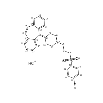 Cl.O=S(=O)(CCCN1CCC(=C2c3ccccc3C=Cc3ccccc32)CC1)c1ccc(F)cc1